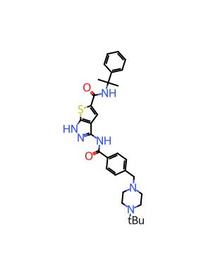 CC(C)(NC(=O)c1cc2c(NC(=O)c3ccc(CN4CCN(C(C)(C)C)CC4)cc3)n[nH]c2s1)c1ccccc1